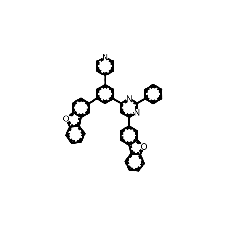 c1ccc(-c2nc(-c3cc(-c4ccncc4)cc(-c4ccc5oc6ccccc6c5c4)c3)cc(-c3ccc4c(c3)oc3ccccc34)n2)cc1